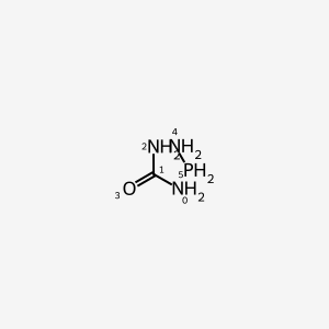 NC(N)=O.NP